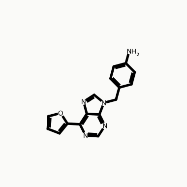 Nc1ccc(Cn2cnc3c(-c4ccco4)ncnc32)cc1